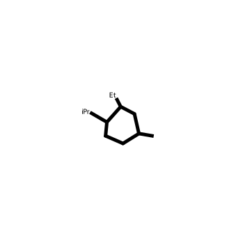 CC[C]1CC(C)CCC1C(C)C